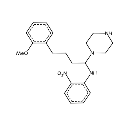 COc1ccccc1CCCC(Nc1ccccc1[N+](=O)[O-])N1CCNCC1